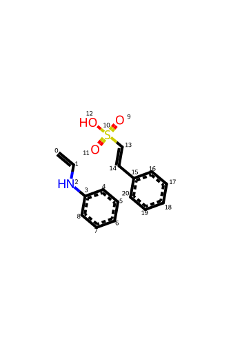 C=CNc1ccccc1.O=S(=O)(O)C=Cc1ccccc1